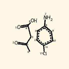 CC(=O)CC(=O)O.Nc1ccc(Cl)cc1